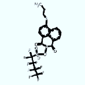 CCCSc1ccc2c3c(cccc13)C(=O)N(OS(=O)(=O)C(F)(F)C(F)(F)C(F)(F)C(F)(F)F)C2=O